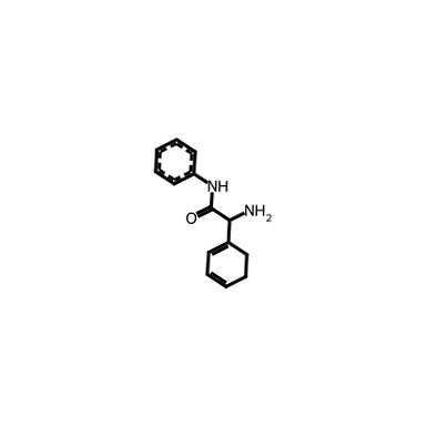 NC(C(=O)Nc1ccccc1)C1=CC=CCC1